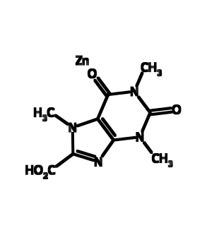 Cn1c(=O)c2c(nc(C(=O)O)n2C)n(C)c1=O.[Zn]